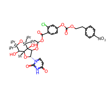 CC(OC(=O)c1ccc(OC(=O)OCCc2ccc([N+](=O)[O-])cc2)cc1Cl)O[C@H]1[C@H](n2ccc(=O)[nH]c2=O)O[C@@H]2C(O)[Si](C(C)C)(C(C)C)O[Si](C(C)C)(C(C)C)[C@@]21O